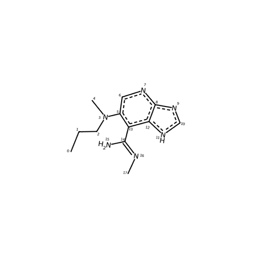 CCCN(C)c1cnc2nc[nH]c2c1C(N)=NC